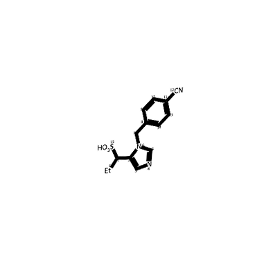 CCC(c1cncn1Cc1ccc(C#N)cc1)S(=O)(=O)O